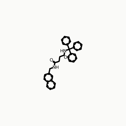 O=C(CCC(=O)NC(c1ccccc1)(c1ccccc1)c1ccccc1)NCc1ccc2ccccc2c1